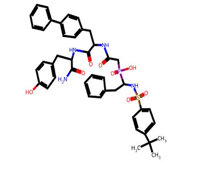 CC(C)(C)c1ccc(S(=O)(=O)NC(Cc2ccccc2)P(=O)(O)CC(=O)NC(Cc2ccc(-c3ccccc3)cc2)C(=O)NC(Cc2ccc(O)cc2)C(N)=O)cc1